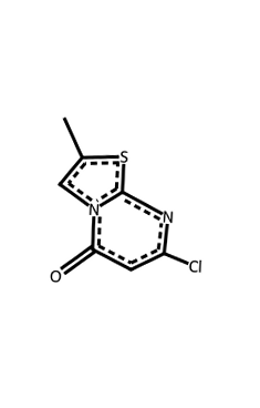 Cc1cn2c(=O)cc(Cl)nc2s1